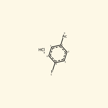 CC(=O)c1ccc(F)cc1.Cl